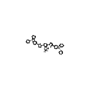 O=S1(=O)N=c2c(-c3ccc(-c4ccc5c(c4)c4ccccc4n5-c4ccccc4)s3)ccc(-c3ccc(-c4ccc5c(c4)c4ccccc4n5-c4ccccc4)s3)c2=N1